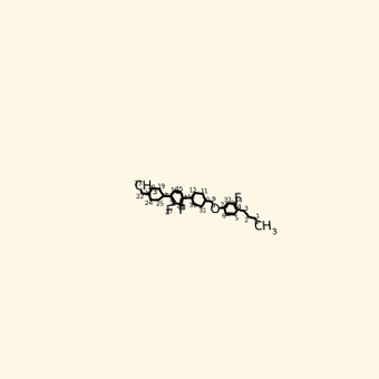 CCCCc1ccc(OCC2CCC(c3ccc(C4CCC(CC)CC4)c(F)c3F)CC2)cc1F